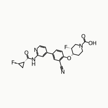 N#Cc1cc(-c2ccnc(NC(=O)[C@@H]3C[C@H]3F)c2)ccc1O[C@H]1CCN(C(=O)O)C[C@H]1F